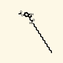 CCCCCCCCCCCCCCCCCCNC(=O)Cc1c[nH]c2ccc(OC(C)=O)cc12